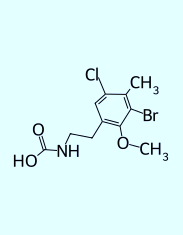 COc1c(CCNC(=O)O)cc(Cl)c(C)c1Br